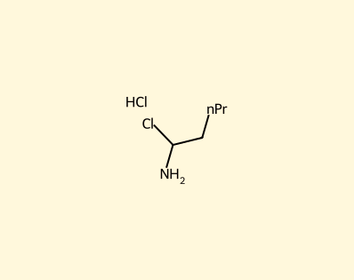 CCCCC(N)Cl.Cl